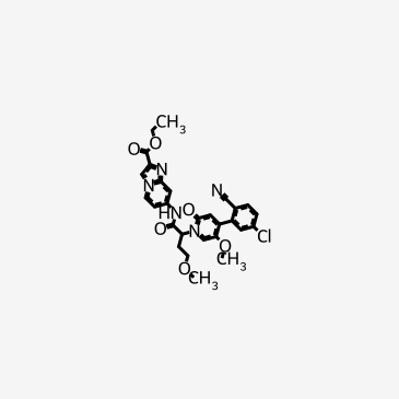 CCOC(=O)c1cn2ccc(NC(=O)C(CCOC)n3cc(OC)c(-c4cc(Cl)ccc4C#N)cc3=O)cc2n1